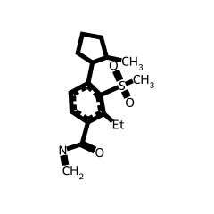 C=NC(=O)c1ccc(C2CCCC2C)c(S(C)(=O)=O)c1CC